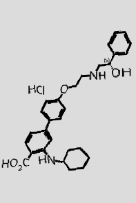 Cl.O=C(O)c1ccc(-c2ccc(OCCNC[C@@H](O)c3ccccc3)cc2)cc1NC1CCCCC1